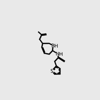 C=C(C)CC1C=CCC(NC(=C)Cc2cccs2)BC1